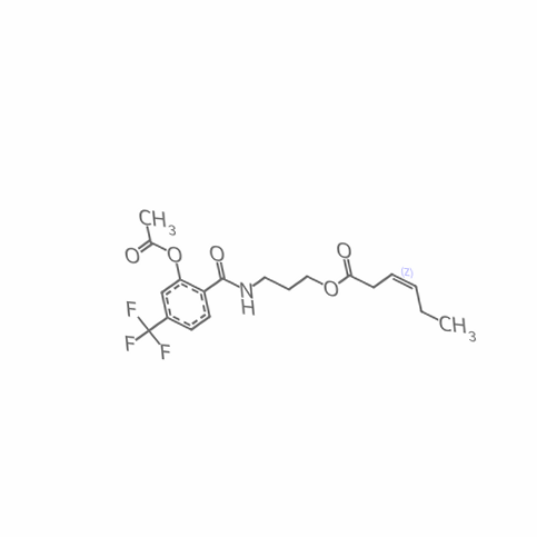 CC/C=C\CC(=O)OCCCNC(=O)c1ccc(C(F)(F)F)cc1OC(C)=O